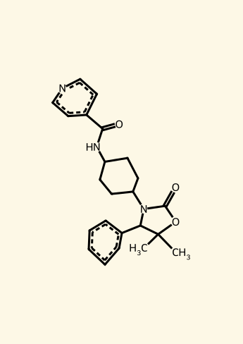 CC1(C)OC(=O)N(C2CCC(NC(=O)c3ccncc3)CC2)C1c1ccccc1